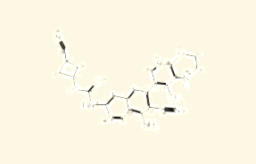 Cc1c(-c2cc3cc(NC(=O)OC4CC(C#N)C4)ncc3c(N)c2C#N)cnc2c1NCCO2